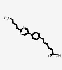 CCCCCc1ncc(-c2ccc(C/C=C/C=C/C(=O)O)cc2)cn1